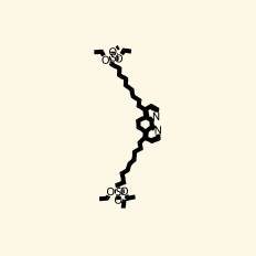 CCO[Si](CCCCCCCCCc1ccnc2c1CCc1c(CCCCCCCCC[Si](OCC)(OCC)OCC)ccnc1-2)(OC)OCC